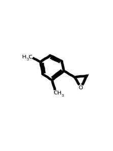 Cc1ccc(C2CO2)c(C)c1